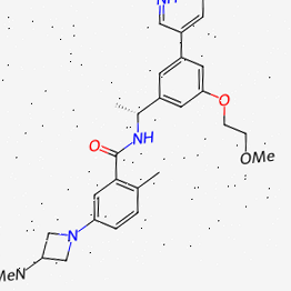 CN/C=C(\C=N)c1cc(OCCOC)cc([C@@H](C)NC(=O)c2cc(N3CC(NC)C3)ccc2C)c1